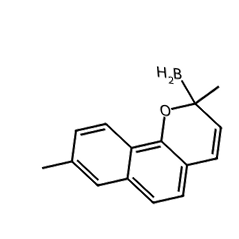 BC1(C)C=Cc2ccc3cc(C)ccc3c2O1